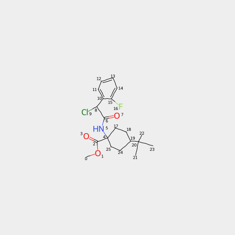 COC(=O)C1(NC(=O)C(Cl)c2ccccc2F)CCC(C(C)(C)C)CC1